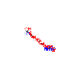 O=C(CCOCCOCCOCCOCCOCCOCCOCCOCCNc1ccc([N+](=O)[O-])cc1[N+](=O)[O-])NCCc1ccc(O)cc1